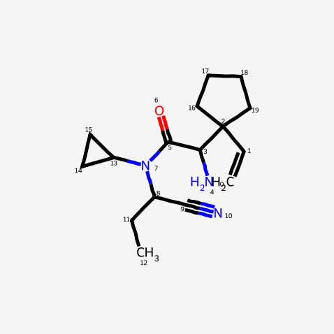 C=CC1(C(N)C(=O)N(C(C#N)CC)C2CC2)CCCC1